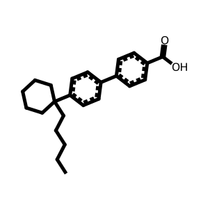 CCCCCC1(c2ccc(-c3ccc(C(=O)O)cc3)cc2)CCCCC1